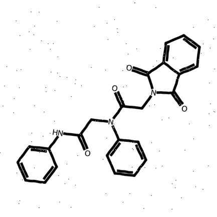 O=C(CN(C(=O)CN1C(=O)c2ccccc2C1=O)c1ccccc1)Nc1ccccc1